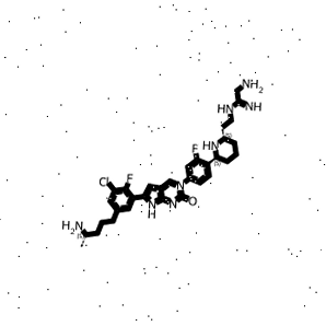 C[C@H](N)CCCc1cc(Cl)c(F)c(-c2cc3cn(-c4ccc([C@@H]5CCC[C@@H](CCNC(=N)CN)N5)c(F)c4)c(=O)nc3[nH]2)c1